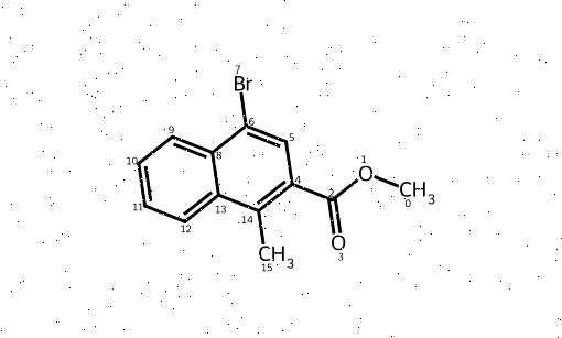 COC(=O)c1cc(Br)c2ccccc2c1C